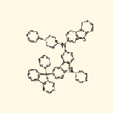 c1ccc(-c2ccc(N(c3ccc4c(c3)sc3ccccc34)c3ccc4c(c3)c3cc(C5(c6ccccc6)c6ccccc6-c6ccccc65)ccc3n4-c3ccccc3)cc2)cc1